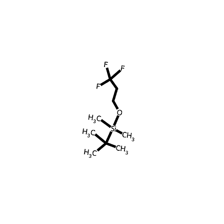 CC(C)(C)[Si](C)(C)OCCC(F)(F)F